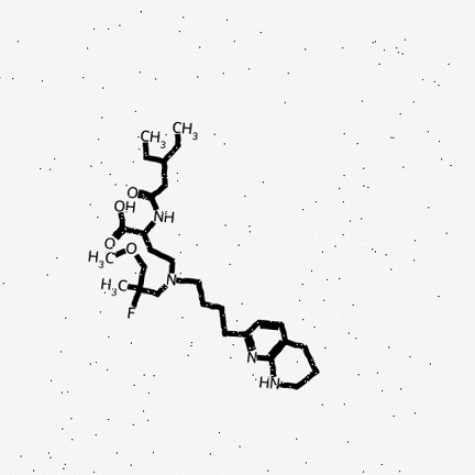 CCC(CC)CC(=O)NC(CCN(CCCCc1ccc2c(n1)NCCC2)CC(C)(F)COC)C(=O)O